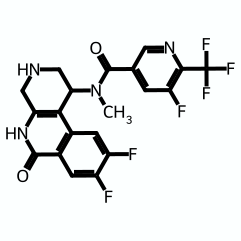 CN(C(=O)c1cnc(C(F)(F)F)c(F)c1)C1CNCc2[nH]c(=O)c3cc(F)c(F)cc3c21